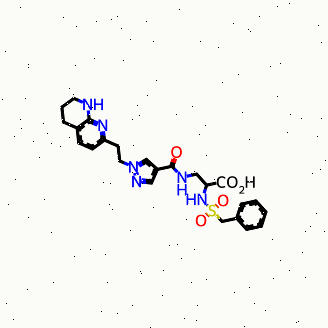 O=C(NCC(NS(=O)(=O)Cc1ccccc1)C(=O)O)c1cnn(CCc2ccc3c(n2)NCCC3)c1